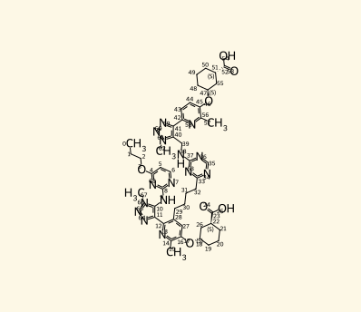 CCCOc1ccnc(Nc2c(-c3nc(C)c(O[C@H]4CCC[C@H](C(=O)O)C4)cc3CCCCc3ncnc(NCc4c(-c5ccc(O[C@H]6CCC[C@H](C(=O)O)C6)c(C)n5)nnn4C)n3)nnn2C)n1